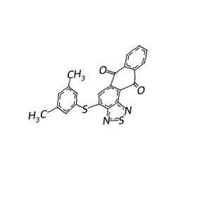 Cc1cc(C)cc(Sc2cc3c(c4nsnc24)C(=O)c2ccccc2C3=O)c1